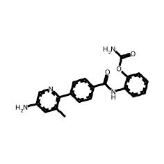 Cc1cc(N)cnc1-c1ccc(C(=O)Nc2ccccc2OC(N)=O)cc1